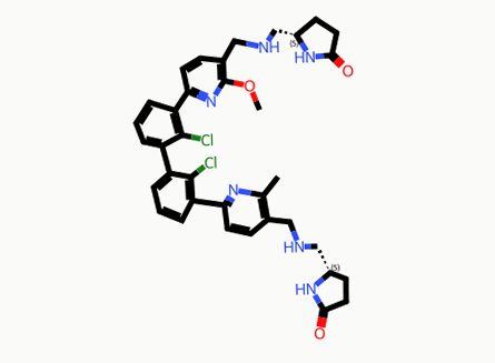 COc1nc(-c2cccc(-c3cccc(-c4ccc(CNC[C@@H]5CCC(=O)N5)c(C)n4)c3Cl)c2Cl)ccc1CNC[C@@H]1CCC(=O)N1